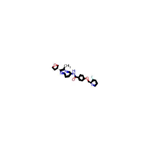 Cc1c([C@@H]2CCOC2)nc2ccc(NC(=O)c3ccc(OCc4ncccc4F)cc3)cn12